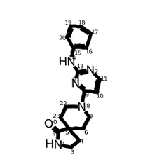 O=C1NCCC12CCN(c1ccnc(Nc3ccccc3)n1)CC2